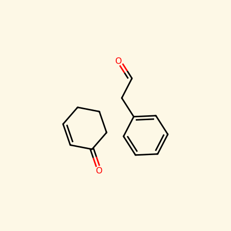 O=C1C=CCCC1.O=CCc1ccccc1